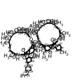 CO[C@H]1/C=C/O[C@@]2(C)Oc3c(C)c(O)c4c(=O)c(c5oc6cc(N7CCN(CC(C)C)CC7)cc(O)c6nc-5c4c3C2=O)NC(=O)/C(C)=C\C=C\[C@H](C)[C@H](O)[C@@H](C)[C@@H](O)[C@@H](C)[C@H](OC(C)=O)[C@@H]1C.CO[C@H]1/C=C/O[C@@]2(C)Oc3c(C)c(O)c4c(O)c(c5c(nc6cc(C)ccn65)c4c3C2=O)NC(=O)/C(C)=C\C=C\[C@H](C)[C@H](O)[C@@H](C)[C@@H](O)[C@@H](C)[C@H](OC(C)=O)[C@@H]1C